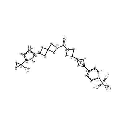 O=C(N1CC(C23CC(c4ccc(S(=O)(=O)C(F)(F)F)cc4)(C2)C3)C1)N1CC2(CC(c3nc(C4(O)CC4)n[nH]3)C2)C1